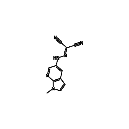 Cn1ccc2cc(NN=C(C#N)C#N)cnc21